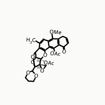 COc1c2c(c(OC(C)=O)c3c4c(c(C)cc13)C1OC3(C5OCCCO5)OC1[C@@](OC(C)=O)(O4)[C@@]31CO1)C(=O)C=CC2